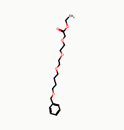 CCOC(=O)COCCOCCOCCCCOCc1ccccc1